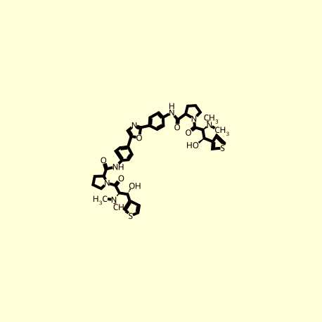 CN(C)[C@H](C(=O)N1CCCC1C(=O)Nc1ccc(-c2cnc(-c3ccc(NC(=O)C4CCCN4C(=O)[C@H]([C@H](O)c4ccsc4)N(C)C)cc3)o2)cc1)[C@H](O)c1ccsc1